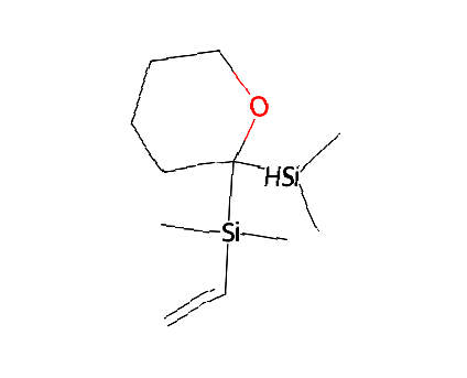 C=C[Si](C)(C)C1([SiH](C)C)CCCCO1